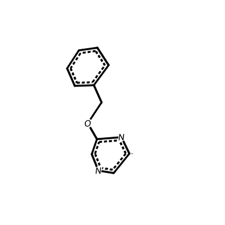 [c]1cncc(OCc2ccccc2)n1